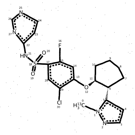 [13CH3]n1nccc1[C@H]1CCCC[C@@H]1Oc1cc(F)c(S(=O)(=O)Nc2ccncn2)cc1Cl